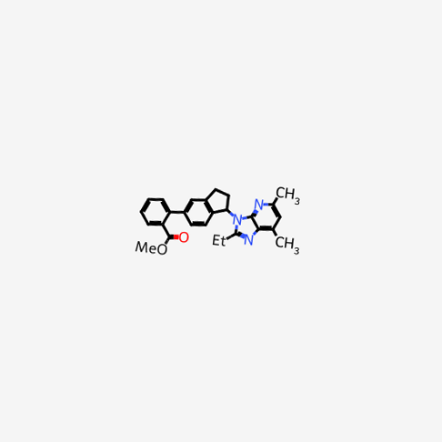 CCc1nc2c(C)cc(C)nc2n1C1CCc2cc(-c3ccccc3C(=O)OC)ccc21